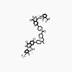 CC(CC1CC(C(=O)N2CCC(c3cc4c(N[C@H](C)c5cccc(C(F)F)c5F)nn(C)c(=O)c4cn3)CC2)CCO1)N1CCC(c2cc3c(N[C@H](C)c4cccc(C(F)(F)F)c4F)nn(C)c(=O)c3cc2Cl)CC1